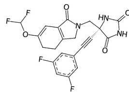 O=C1NC(=O)[C@@](C#Cc2cc(F)cc(F)c2)(CN2CC3=C(C=C(OC(F)F)CC3)C2=O)N1